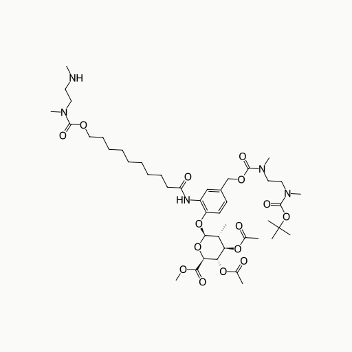 CNCCN(C)C(=O)OCCCCCCCCCC(=O)Nc1cc(COC(=O)N(C)CCN(C)C(=O)OC(C)(C)C)ccc1O[C@@H]1O[C@H](C(=O)OC)[C@@H](OC(C)=O)[C@H](OC(C)=O)[C@H]1C